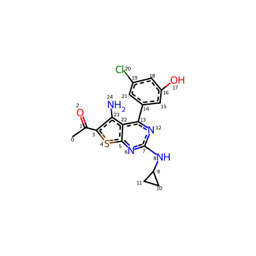 CC(=O)c1sc2nc(NC3CC3)nc(-c3cc(O)cc(Cl)c3)c2c1N